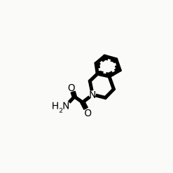 NC(=O)C(=O)N1CCc2ccccc2C1